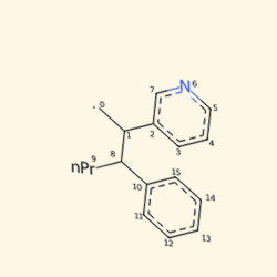 [CH2]C(c1cccnc1)C(CCC)c1ccccc1